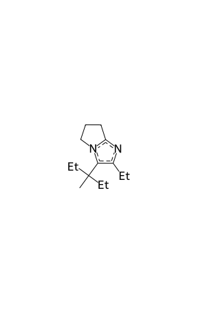 CCc1nc2n(c1C(C)(CC)CC)CCC2